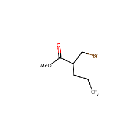 COC(=O)C(CBr)CCC(F)(F)F